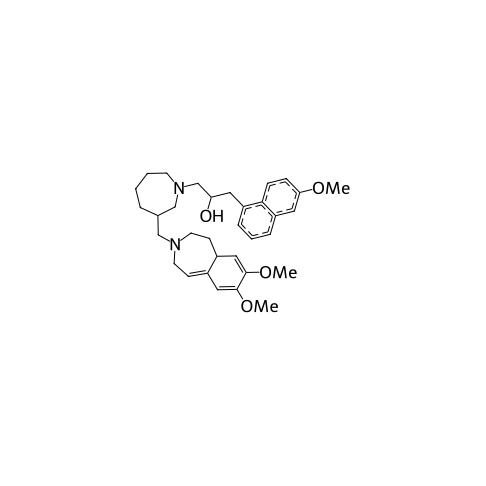 COC1=CC2=CCN(CC3CCCCN(CC(O)Cc4cccc5cc(OC)ccc45)C3)CCC2C=C1OC